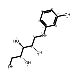 OC[C@@H](O)[C@@H](O)[C@@H](O)CNc1cccc(O)c1